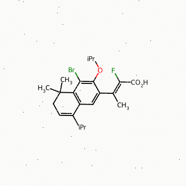 CC(=C(F)C(=O)O)c1cc2c(c(Br)c1OC(C)C)C(C)(C)CC=C2C(C)C